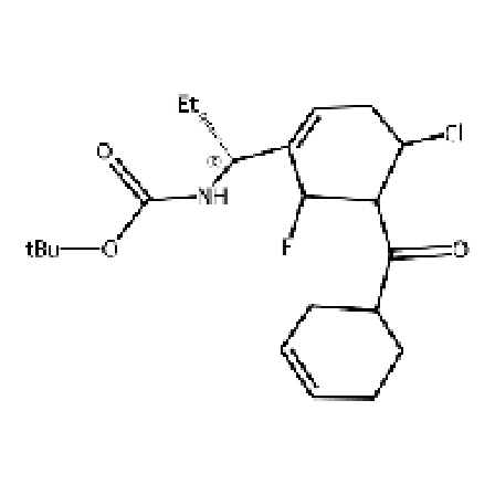 CC[C@@H](NC(=O)OC(C)(C)C)C1=CCC(Cl)C(C(=O)C2CC=CCC2)C1F